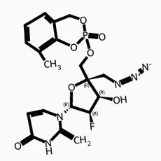 C=C1NC(=O)C=CN1[C@@H]1O[C@](CN=[N+]=[N-])(COP2(=O)OCc3cccc(C)c3O2)[C@@H](O)[C@H]1F